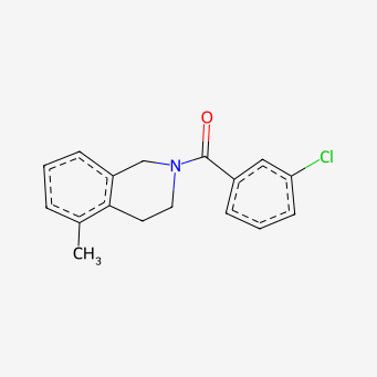 Cc1cccc2c1CCN(C(=O)c1cccc(Cl)c1)C2